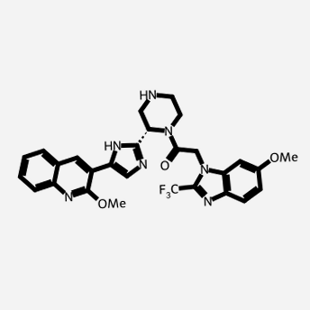 COc1ccc2nc(C(F)(F)F)n(CC(=O)N3CCNC[C@H]3c3ncc(-c4cc5ccccc5nc4OC)[nH]3)c2c1